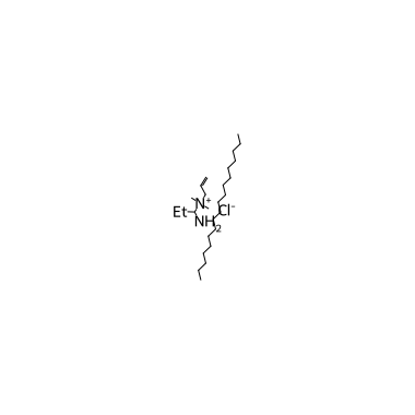 C=CC[N+](C)(C)C(N)CC.CCCCCCCCCCCCCCCCCC.[Cl-]